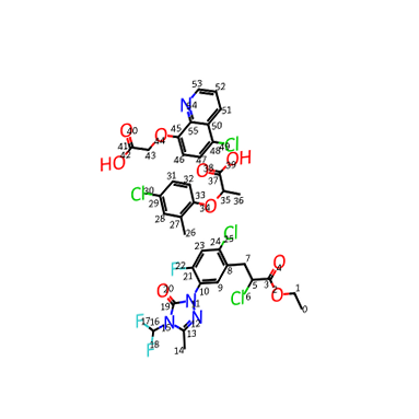 CCOC(=O)C(Cl)Cc1cc(-n2nc(C)n(C(F)F)c2=O)c(F)cc1Cl.Cc1cc(Cl)ccc1OC(C)C(=O)O.O=C(O)COc1ccc(Cl)c2cccnc12